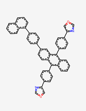 c1ccc2c(-c3ccc(-c4ccc5c(-c6ccc(-c7cocn7)cc6)c6ccccc6c(-c6ccc(-c7cocn7)cc6)c5c4)cc3)cccc2c1